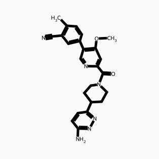 COc1cc(C(=O)N2CCC(c3ccc(N)nn3)CC2)ncc1-c1ccc(C)c(C#N)c1